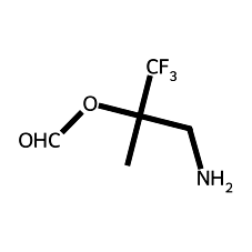 CC(CN)(OC=O)C(F)(F)F